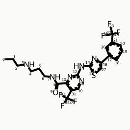 CCCNCCCNC(=O)c1nc(Nc2nc(-c3cccc(C(F)(F)F)c3)cs2)ncc1C(F)(F)F